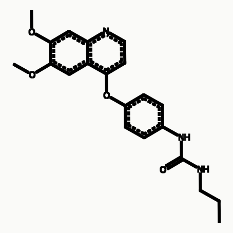 CCCNC(=O)Nc1ccc(Oc2ccnc3cc(OC)c(OC)cc23)cc1